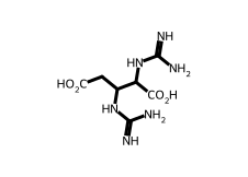 N=C(N)NC(CC(=O)O)C(NC(=N)N)C(=O)O